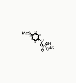 CCOP(=O)(O)OSc1ccc(SC)cc1